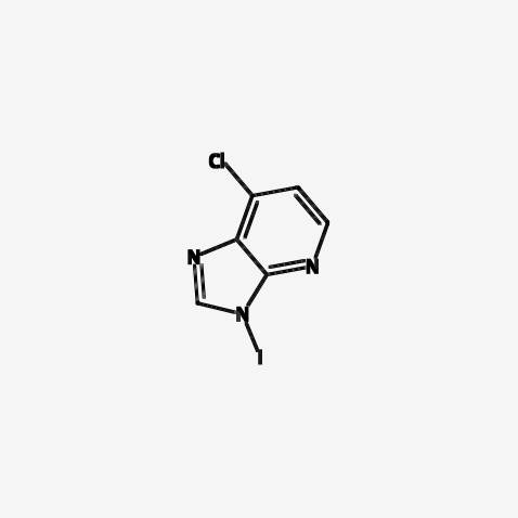 Clc1ccnc2c1ncn2I